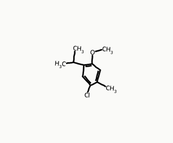 COc1cc(C)c(Cl)cc1C(C)C